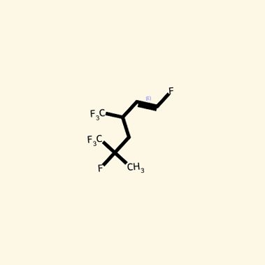 CC(F)(CC(/C=C/F)C(F)(F)F)C(F)(F)F